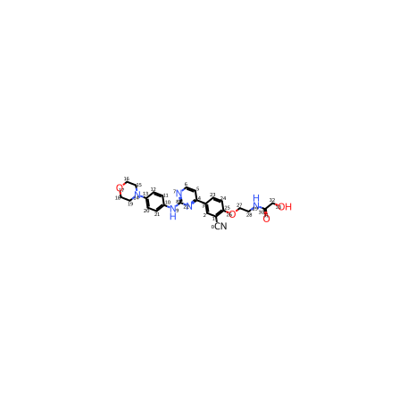 N#Cc1cc(-c2ccnc(Nc3ccc(N4CCOCC4)cc3)n2)ccc1OCCNC(=O)CO